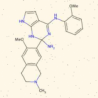 COc1ccccc1NC1=NC(N)(c2cc3c(cc2OC)CCN(C)C3)Nc2[nH]ccc21